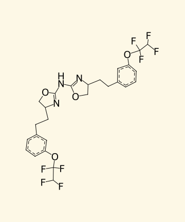 FC(F)C(F)(F)Oc1cccc(CCC2COC(NC3=NC(CCc4cccc(OC(F)(F)C(F)F)c4)CO3)=N2)c1